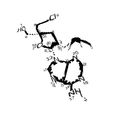 CC#C[C@H]1C[C@](CO)(CCl)O[C@H]1n1cnc2c(N)ncnc21